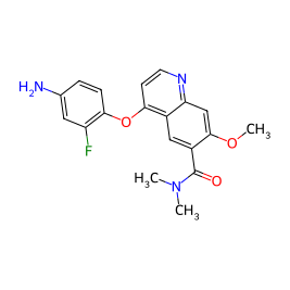 COc1cc2nccc(Oc3ccc(N)cc3F)c2cc1C(=O)N(C)C